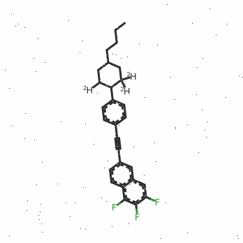 [2H]C1CC(CCCC)CC([2H])([2H])C1c1ccc(C#Cc2ccc3c(F)c(F)c(F)cc3c2)cc1